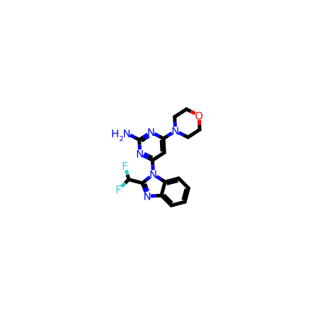 Nc1nc(N2CCOCC2)cc(-n2c(C(F)F)nc3ccccc32)n1